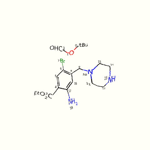 CC(C)(C)OC=O.CCOC(=O)c1cc(Br)c(CN2CCNCC2)cc1N